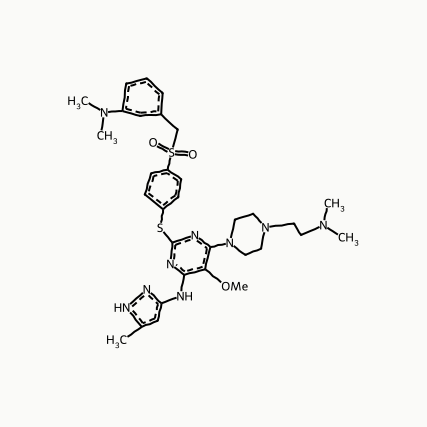 COc1c(Nc2cc(C)[nH]n2)nc(Sc2ccc(S(=O)(=O)Cc3cccc(N(C)C)c3)cc2)nc1N1CCN(CCN(C)C)CC1